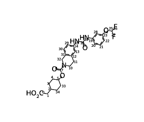 O=C(O)CC1CCC(OC(=O)N2CCc3cc(NC(=O)Nc4cccc(OC(F)F)c4)ccc3C2)CC1